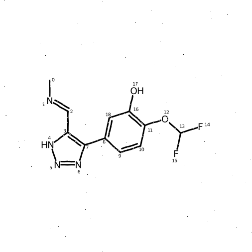 C/N=C/c1[nH]nnc1-c1ccc(OC(F)F)c(O)c1